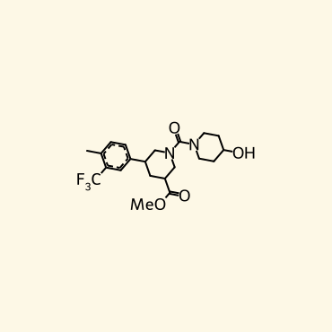 COC(=O)C1CC(c2ccc(C)c(C(F)(F)F)c2)CN(C(=O)N2CCC(O)CC2)C1